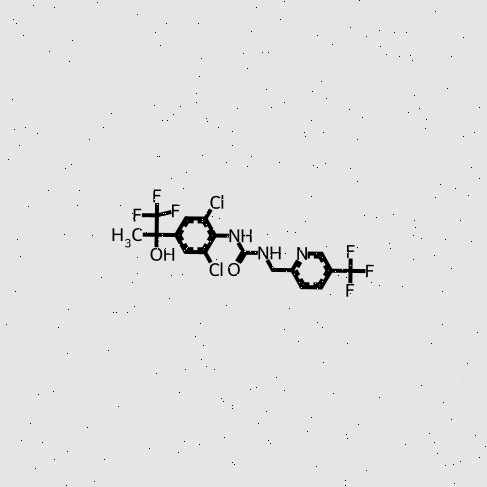 CC(O)(c1cc(Cl)c(NC(=O)NCc2ccc(C(F)(F)F)cn2)c(Cl)c1)C(F)(F)F